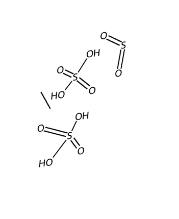 CC.O=S(=O)(O)O.O=S(=O)(O)O.O=S=O